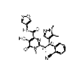 Cc1c([C@@H](c2ccccc2C#N)[C@H](C)c2nc(C(=O)Nc3cnoc3)c(O)c(=O)n2C)cnn1C